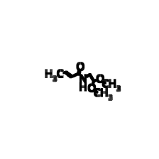 CC=CC(=O)NCC(OC)OC